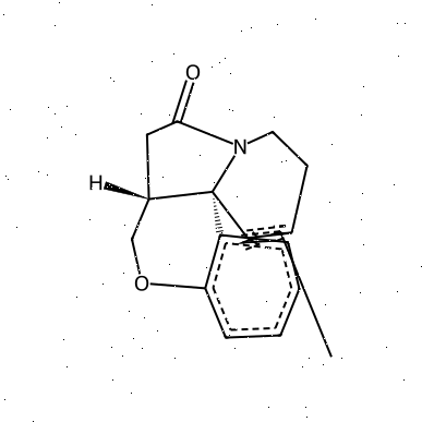 Cc1ccc2c(c1)CCN1C(=O)C[C@H]3COc4ccccc4[C@]231